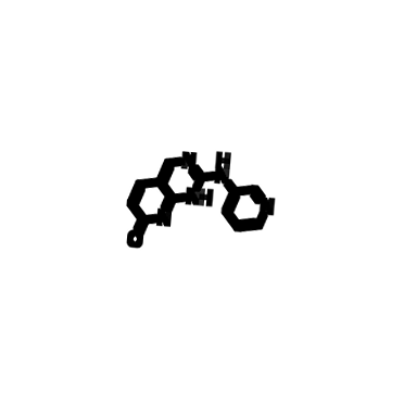 O=c1ccc2cnc(Nc3cccnc3)[nH]c-2n1